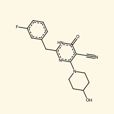 N#Cc1c(N2CCC(O)CC2)nc(Cc2cccc(F)c2)[nH]c1=O